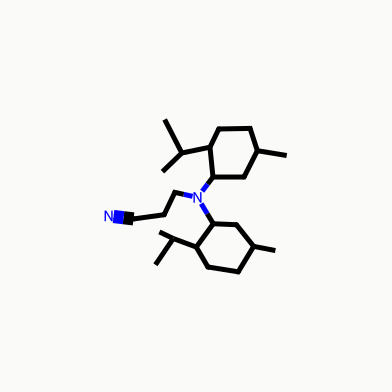 CC1CCC(C(C)C)C(N(CCC#N)C2CC(C)CCC2C(C)C)C1